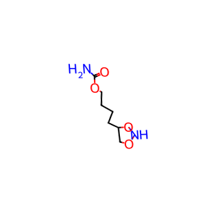 NC(=O)OCCCCC1CONO1